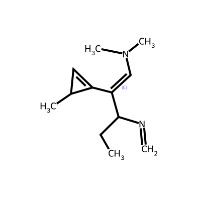 C=NC(CC)/C(=C/N(C)C)C1=CC1C